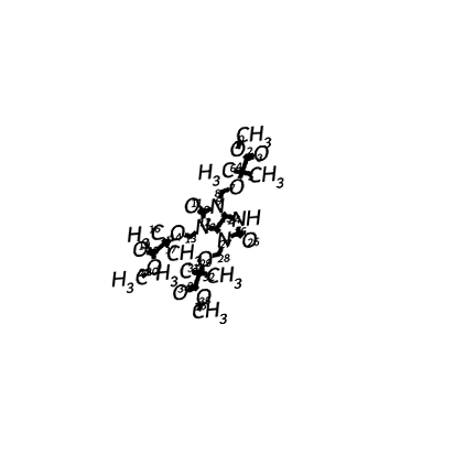 COC(=O)C(C)(C)OCN1C(=O)N(COC(C)(C)C(=O)OC)C2C1NC(=O)N2COC(C)(C)C(=O)OC